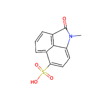 CN1C(=O)c2cccc3c(S(=O)(=O)O)ccc1c23